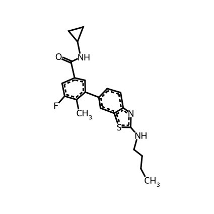 CCCCNc1nc2ccc(-c3cc(C(=O)NC4CC4)cc(F)c3C)cc2s1